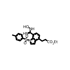 CCOC(=O)CCc1ccc(C(=N)NO)c2c1ccn2S(=O)(=O)c1ccc(C)cc1